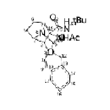 C=CCC1C2CCC(N2C(=O)OCc2ccccc2)C1(NC(C)=O)C(=O)NC(C)(C)C